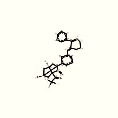 [N-]=[N+]1C2(C(=O)C(F)(F)F)C[C@@H]3C[C@H]2CC31c1cccc(C=C2CCCN=C2c2cccnc2)c1